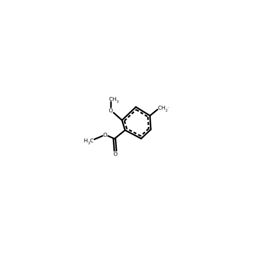 [CH2]c1ccc(C(=O)OC)c(OC)c1